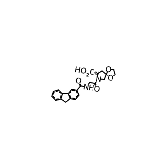 O=C(NCC(=O)N1CC2(C[C@H]1C(=O)O)OCCO2)c1ccc2c(c1)-c1ccccc1C2